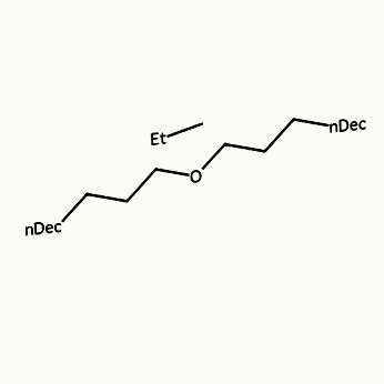 CCC.CCCCCCCCCCCCCOCCCCCCCCCCCCC